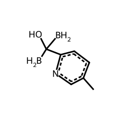 BC(B)(O)c1ccc(C)cn1